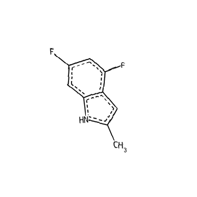 Cc1cc2c(F)cc(F)cc2[nH]1